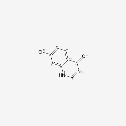 O=c1n[c][nH]c2cc(Cl)ccc12